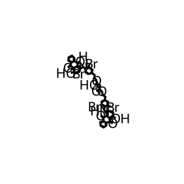 O=C(CC(O)OCCc1cc(Br)c(Nc2ccc(O)c3c2C(=O)c2ccccc2C3=O)c(Br)c1)OCCc1cc(Br)c(Nc2ccc(O)c3c2C(=O)c2ccccc2C3=O)c(Br)c1